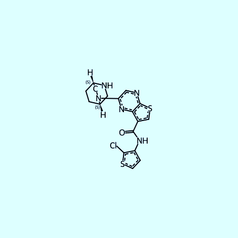 O=C(Nc1ccsc1Cl)c1csc2ncc(N3C[C@@H]4CC[C@H]3CN4)nc12